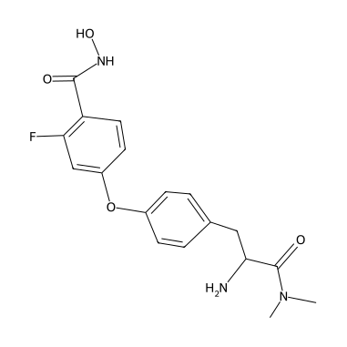 CN(C)C(=O)C(N)Cc1ccc(Oc2ccc(C(=O)NO)c(F)c2)cc1